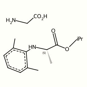 Cc1cccc(C)c1N[C@@H](C)C(=O)OC(C)C.NCC(=O)O